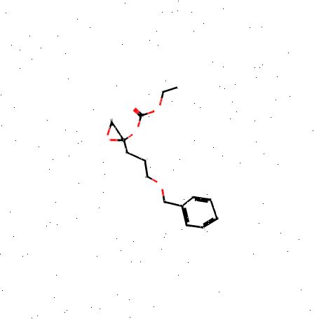 CCOC(=O)OC1(CCCOCc2ccccc2)CO1